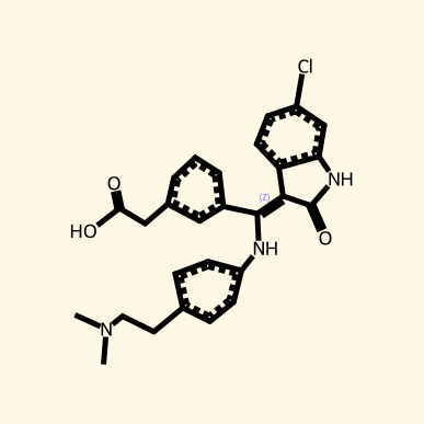 CN(C)CCc1ccc(N/C(=C2\C(=O)Nc3cc(Cl)ccc32)c2cccc(CC(=O)O)c2)cc1